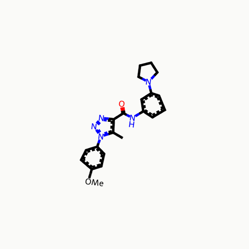 COc1ccc(-n2nnc(C(=O)Nc3cccc(N4CCCC4)c3)c2C)cc1